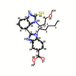 CCCCCn1c(-c2cccc3nc(S)n(CCCOC)c23)nc2cc(C(=O)OC)ccc21